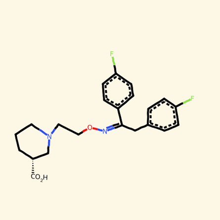 O=C(O)[C@@H]1CCCN(CCON=C(Cc2ccc(F)cc2)c2ccc(F)cc2)C1